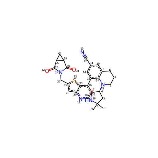 CC1(C)C[C@H](N2CCCc3cc(C#N)cc(-c4ccnc5cc(CN6C(=O)C7CC7C6=O)sc45)c32)CN1